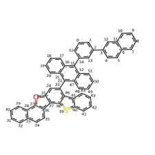 c1cc(-c2ccc3ccccc3c2)cc(-c2c3ccccc3c(-c3cc4oc5c6ccccc6ccc5c4c4sc5ccccc5c34)c3ccccc23)c1